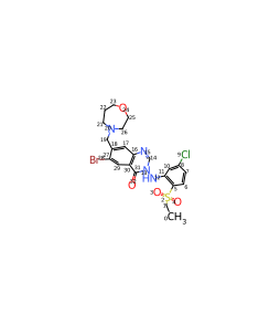 CCS(=O)(=O)c1ccc(Cl)cc1Nn1cnc2cc(CN3CCCOCC3)c(Br)cc2c1=O